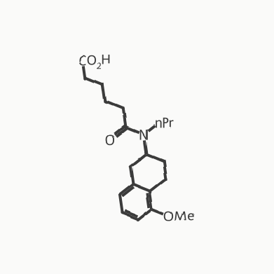 CCCN(C(=O)CCCCC(=O)O)C1CCc2c(cccc2OC)C1